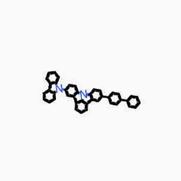 c1ccc(-c2ccc(-c3ccc4c(c3)c3cccc5c6cc(-n7c8ccccc8c8ccccc87)ccc6n4c35)cc2)cc1